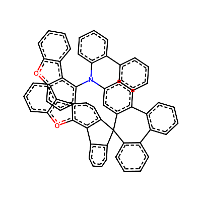 c1ccc(-c2ccccc2N(c2ccc3c(c2)C2(c4ccccc4-c4ccccc4-3)c3ccccc3-c3c2ccc2c3oc3ccccc32)c2cccc3oc4ccccc4c23)cc1